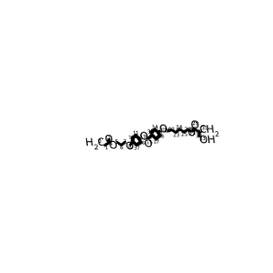 C=CC(=O)OCCCOc1ccc(OC(=O)c2ccc(OCCCCCCOC(=O)C(=C)CO)cc2)cc1